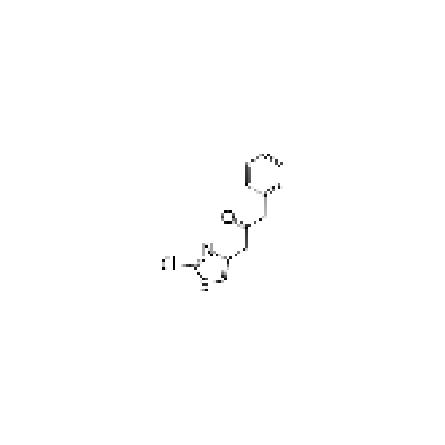 O=C(Cc1ccccc1)Cc1csc(Cl)n1